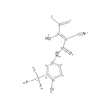 C=C(C)C(O)=C(C#N)C(=O)Nc1ccc(Cl)c(C(F)(F)F)c1